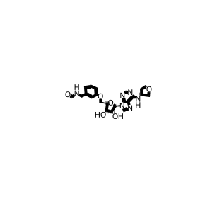 O=CNCc1cccc(OC[C@H]2O[C@@H](n3cnc4c(N[C@@H]5CCOC5)ncnc43)[C@H](O)[C@@H]2O)c1